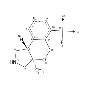 C[C@]12CNC[C@@H]1c1cccc(C(F)(F)F)c1CO2